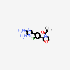 C=CC(=O)N1CCOC[C@H]1c1ccc(-c2cnc(N)c(N)n2)c(Cl)c1